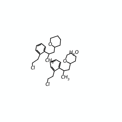 CC(CC1CCCCO1)c1ccccc1CCCl.CC(CC1CCCCO1)c1ccccc1CCCl.O